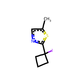 Cc1cnc(C2(I)CCC2)s1